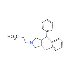 O=C(O)CCN1CC2Cc3ccccc3C(c3ccccc3)C2C1